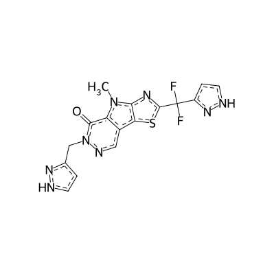 Cn1c2nc(C(F)(F)c3cc[nH]n3)sc2c2cnn(Cc3cc[nH]n3)c(=O)c21